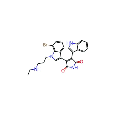 CCNCCCn1cc(C2=C(c3c[nH]c4ccccc34)C(=O)NC2=O)c2cccc(Br)c21